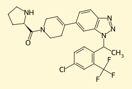 CC(c1ccc(Cl)cc1C(F)(F)F)n1nnc2ccc(C3=CCN(C(=O)[C@H]4CCCN4)CC3)cc21